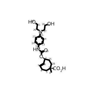 C[C@]1(C(=O)O)CC/C=C/[C@@H](OC(=O)Nc2ccc(N(CCO)CCO)cc2)CC1